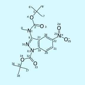 CN(C(=O)OC(C)(C)C)c1nn(C(=O)OC(C)(C)C)c2ccc([N+](=O)[O-])cc12